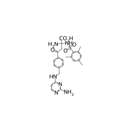 Cc1cc(C)c(S(=O)(=O)NC(N)(CC(=O)c2ccc(CNc3ccnc(N)n3)cc2)C(=O)O)c(C)c1